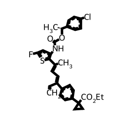 C=C/C(=C\C=C(/C)c1sc(F)cc1NC(=O)O[C@H](C)c1ccc(Cl)cc1)c1ccc(C2(C(=O)OCC)CC2)cc1